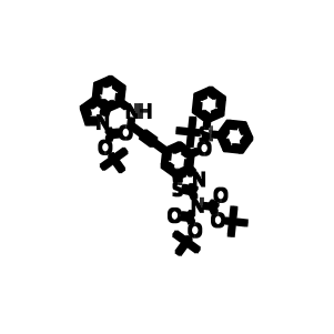 CC(C)(C)OC(=O)N(C(=O)OC(C)(C)C)c1nc2c(O[Si](c3ccccc3)(c3ccccc3)C(C)(C)C)cc(C#CCNc3cccc4ccn(C(=O)OC(C)(C)C)c34)cc2s1